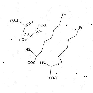 CC(C)CCCCCC(S)C(=O)[O-].CC(C)CCCCCC(S)C(=O)[O-].CCCCCCC[CH2][Sn+2][CH2]CCCCCCC.CCCCCCC[CH2][Sn](=[S])[CH2]CCCCCCC